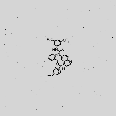 C=CC1CN2CCC1C[C@@H]2[C@@H](OCc1ccccc1)c1ccnc2ccc(NC(=S)Nc3cc(C(F)(F)F)cc(C(F)(F)F)c3)cc12